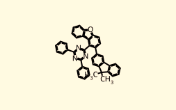 CC1(C)c2ccccc2-c2cc(-c3ccc4oc5ccccc5c4c3-c3nc(-c4ccccc4)nc(-c4ccccc4)n3)ccc21